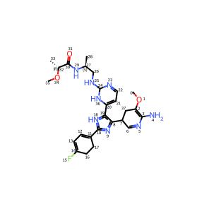 COC1=C(N)N=CC(c2nc(C3=CC=C(F)CC3)[nH]c2C2=CC=NC(NC[C@H](C)NC(=O)[C@@H](C)OC)N2)C1